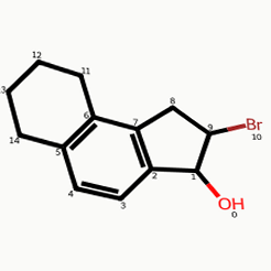 OC1c2ccc3c(c2CC1Br)CCCC3